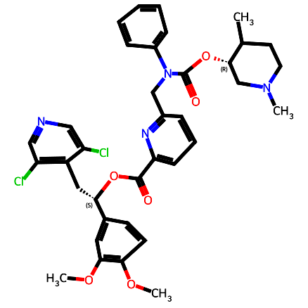 COc1ccc([C@H](Cc2c(Cl)cncc2Cl)OC(=O)c2cccc(CN(C(=O)O[C@H]3CN(C)CCC3C)c3ccccc3)n2)cc1OC